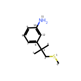 CSCC(C)(C)c1cccc(N)c1